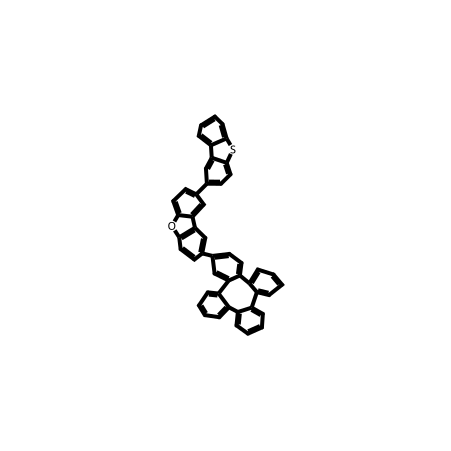 c1ccc2c(c1)-c1ccccc1-c1ccc(-c3ccc4oc5ccc(-c6ccc7sc8ccccc8c7c6)cc5c4c3)cc1-c1ccccc1-2